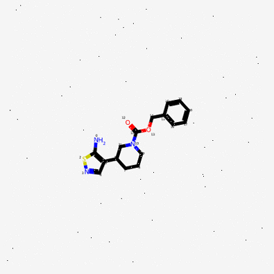 Nc1sncc1C1CCCN(C(=O)OCc2ccccc2)C1